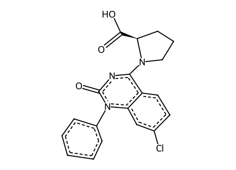 O=C(O)[C@H]1CCCN1c1nc(=O)n(-c2ccccc2)c2cc(Cl)ccc12